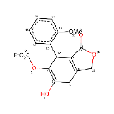 CCOC(=O)OC1=C(O)CC2=C(C(=O)OC2)C1c1ccccc1OC